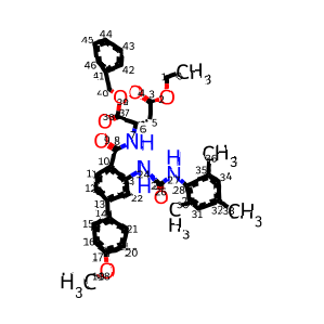 CCOC(=O)C[C@H](NC(=O)c1ccc(-c2ccc(OC)cc2)cc1NC(=O)Nc1c(C)cc(C)cc1C)C(=O)OCc1ccccc1